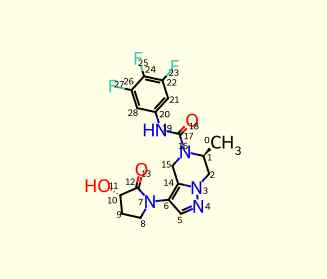 C[C@H]1Cn2ncc(N3CC[C@H](O)C3=O)c2CN1C(=O)Nc1cc(F)c(F)c(F)c1